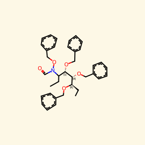 CCC([C@H](OCc1ccccc1)[C@H](OCc1ccccc1)[C@@H](CC)OCc1ccccc1)N(C=O)OCc1ccccc1